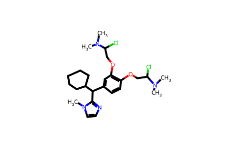 CN(C)C(Cl)COc1ccc(C(c2nccn2C)C2CCCCC2)cc1OCC(Cl)N(C)C